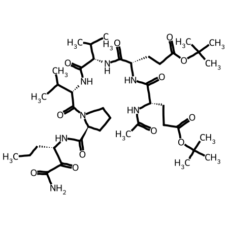 CCC[C@H](NC(=O)[C@@H]1CCCN1C(=O)[C@@H](NC(=O)[C@@H](NC(=O)[C@H](CCC(=O)OC(C)(C)C)NC(=O)[C@H](CCC(=O)OC(C)(C)C)NC(C)=O)C(C)C)C(C)C)C(=O)C(N)=O